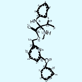 CNC(Nc1ccccc1)(C(=O)OCc1cccc(Oc2ccccc2)n1)C(C)C